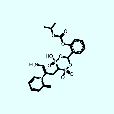 C=C1C=CC=CN1/C(=C\N)CC1P(=O)(O)OC(c2ccccc2OC(=O)OC(C)C)OP1(=O)O